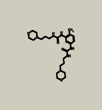 Cc1ccc(NC(=O)NCCCN2CCOCC2)cc1NC(=O)NCCCN1CCOCC1